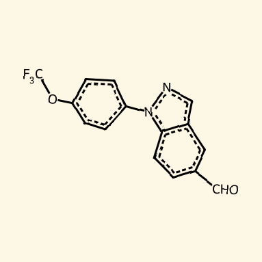 O=Cc1ccc2c(cnn2-c2ccc(OC(F)(F)F)cc2)c1